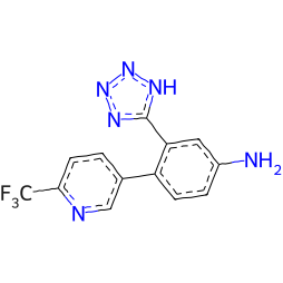 Nc1ccc(-c2ccc(C(F)(F)F)nc2)c(-c2nnn[nH]2)c1